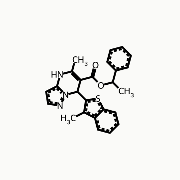 CC1=C(C(=O)OC(C)c2ccccc2)C(c2sc3ccccc3c2C)n2nccc2N1